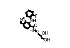 O=C(NOC[C@H](O)CO)c1ccc2cnsc2c1Nc1ccc(I)cc1F